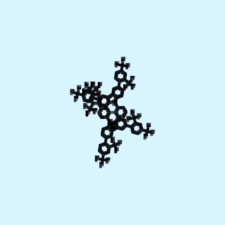 N#Cc1cccc(-n2c3ccc(-c4ccc(C(F)(F)F)cc4C(F)(F)F)cc3c3cc(-c4ccc(C(F)(F)F)cc4C(F)(F)F)ccc32)c1-c1cc(-c2ccc(C(F)(F)F)cc2C(F)(F)F)ccc1-n1c2ccc(-c3ccc(C(F)(F)F)cc3C(F)(F)F)cc2c2cc(-c3ccc(C(F)(F)F)cc3C(F)(F)F)ccc21